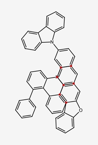 c1ccc(-c2ccccc2-c2c(-c3ccccc3)cccc2N(c2cccc(-n3c4ccccc4c4ccccc43)c2)c2ccc3oc4ccccc4c3c2)cc1